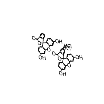 Cl.Cl.O=C1OC2(c3ccc(O)cc3Oc3cc(O)ccc32)c2ccccc21.O=C1OC2(c3ccc(O)cc3Oc3cc(O)ccc32)c2ccccc21